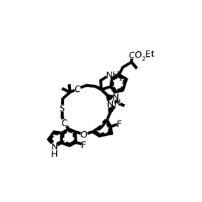 CCOC(=O)C(C)Cc1cccc(C2(CN)CCCC(C)(C)CSCCc3c(c(F)cc4[nH]ccc34)Oc3ccc(F)c(c3)-c3nc2nn3C)c1